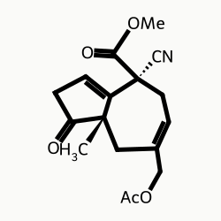 COC(=O)[C@@]1(C#N)CC=C(COC(C)=O)C[C@]2(C)C(=O)CC=C21